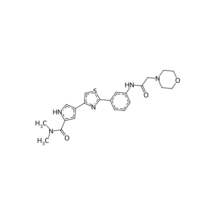 CN(C)C(=O)c1cc(-c2csc(-c3cccc(NC(=O)CN4CCOCC4)c3)n2)c[nH]1